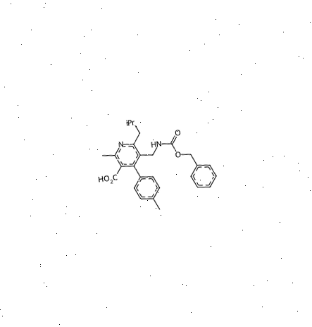 Cc1ccc(-c2c(CNC(=O)OCc3ccccc3)c(CC(C)C)nc(C)c2C(=O)O)cc1